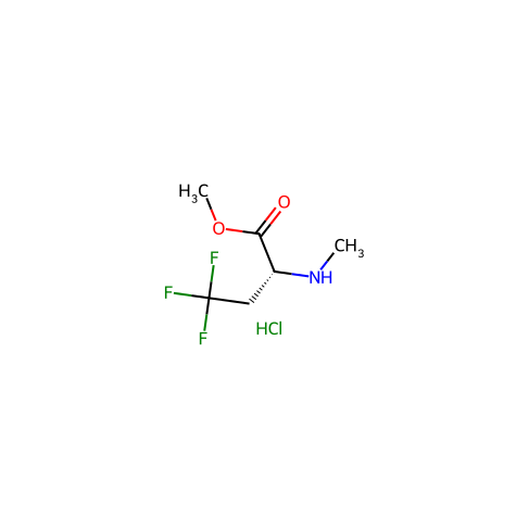 CN[C@H](CC(F)(F)F)C(=O)OC.Cl